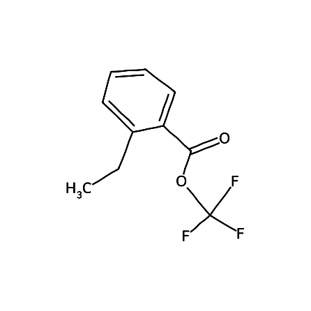 CCc1ccccc1C(=O)OC(F)(F)F